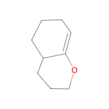 C1=C2OCCCC2CCC1